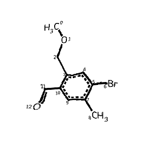 COCc1cc(Br)c(C)cc1C=O